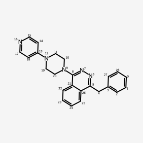 c1ccc(Cc2nnc(N3CCN(c4ccncc4)CC3)c3ccccc23)cc1